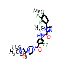 COc1ccc(-c2cnc(C(=O)Nc3ccc(C(=O)N4CCN(C(=O)C[N+](C)(C)C)CC4)c(Cl)c3)n2C)c(F)c1F